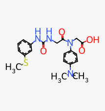 CSc1cccc(NC(=O)NCC(=O)N(CC(=O)O)c2ccc(N(C)C)cc2)c1